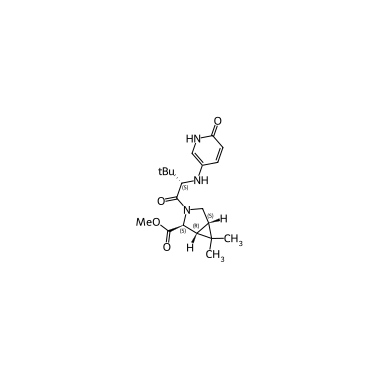 COC(=O)[C@@H]1[C@@H]2[C@H](CN1C(=O)[C@@H](Nc1ccc(=O)[nH]c1)C(C)(C)C)C2(C)C